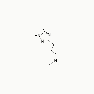 CN(C)CC[CH]c1nn[nH]n1